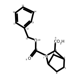 O=C(O)C1C2CCC(C2)N1C(=O)OCc1ccccc1